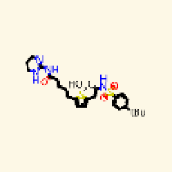 CC(C)(C)c1ccc(S(=O)(=O)NC(Cc2ccc(CCCCC(=O)NC3=NCCCN3)s2)C(=O)O)cc1